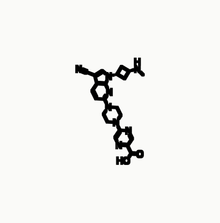 CN[C@H]1C[C@H](n2cc(C#N)c3ccc(N4CCN(c5cnc(C(=O)O)cn5)CC4)nc32)C1